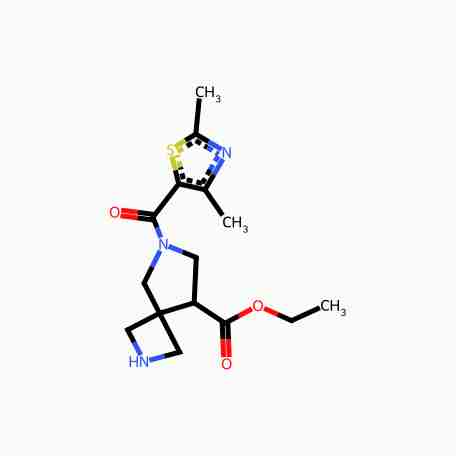 CCOC(=O)C1CN(C(=O)c2sc(C)nc2C)CC12CNC2